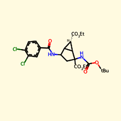 CCOC(=O)[C@H]1C2C(NC(=O)c3ccc(Cl)c(Cl)c3)CC(NC(=O)OC(C)(C)C)(C(=O)OCC)C21